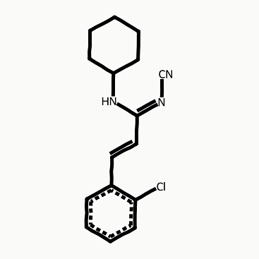 N#CN=C(C=Cc1ccccc1Cl)NC1CCCCC1